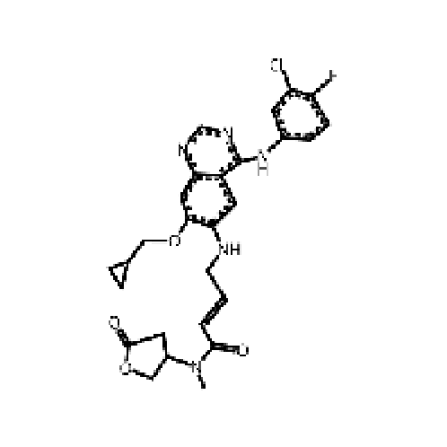 CN(C(=O)C=CCNc1cc2c(Nc3ccc(F)c(Cl)c3)ncnc2cc1OCC1CC1)C1COC(=O)C1